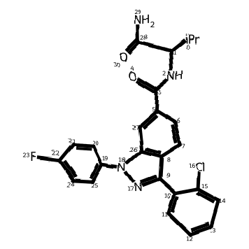 CC(C)C(NC(=O)c1ccc2c(-c3ccccc3Cl)nn(-c3ccc(F)cc3)c2c1)C(N)=O